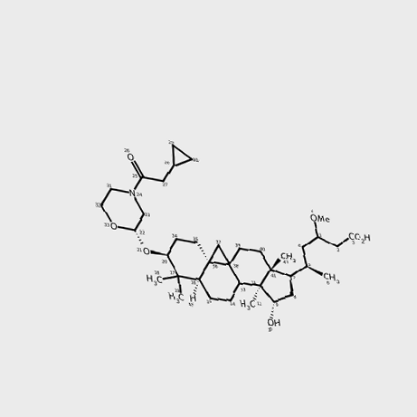 COC(CC(=O)O)C[C@@H](C)[C@H]1C[C@H](O)[C@@]2(C)C3CC[C@H]4C(C)(C)[C@@H](O[C@H]5CN(C(=O)CC6CC6)CCO5)CC[C@@]45CC35CC[C@]12C